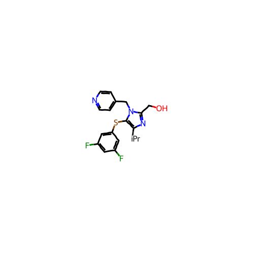 CC(C)c1nc(CO)n(Cc2ccncc2)c1Sc1cc(F)cc(F)c1